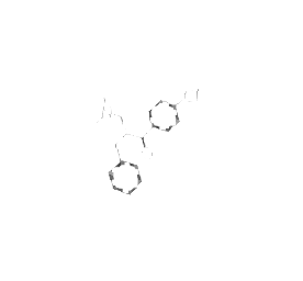 CN(C)C[C@H](Cc1ccccc1)C(=O)c1ccc(Cl)cc1